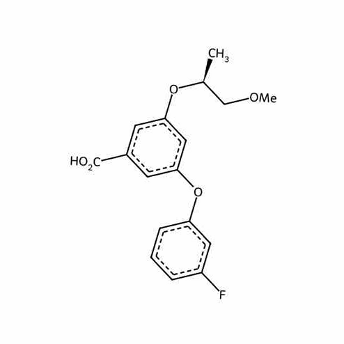 COC[C@H](C)Oc1cc(Oc2cccc(F)c2)cc(C(=O)O)c1